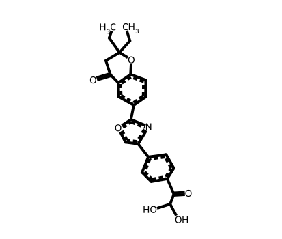 CCC1(CC)CC(=O)c2cc(-c3nc(-c4ccc(C(=O)C(O)O)cc4)co3)ccc2O1